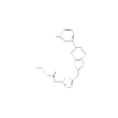 NCNC(=O)Cc1nnc(Cc2nc3ccc(-c4cccc(C(F)(F)F)c4)cc3s2)o1